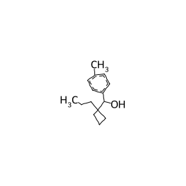 CCCC1(C(O)c2ccc(C)cc2)CCC1